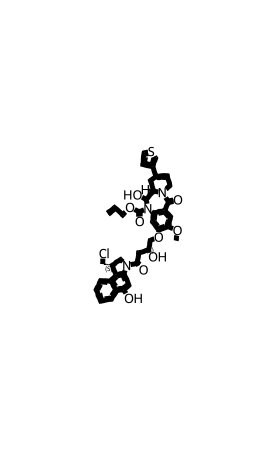 C=CCOC(=O)N1c2cc(OC[C@@H](O)CC(=O)N3C[C@@H](CCl)c4c3cc(O)c3ccccc43)c(OC)cc2C(=O)N2CC=C(c3ccsc3)C[C@H]2C1O